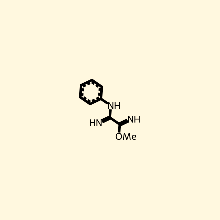 COC(=N)C(=N)Nc1ccccc1